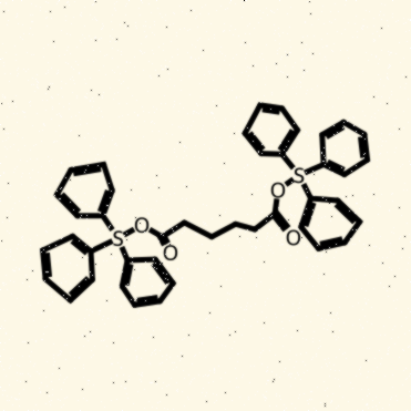 O=C(CCCCC(=O)OS(c1ccccc1)(c1ccccc1)c1ccccc1)OS(c1ccccc1)(c1ccccc1)c1ccccc1